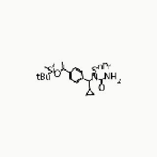 CCCSN(C(N)=O)C(c1ccc(C(C)O[Si](C)(C)C(C)(C)C)cc1)C1CC1